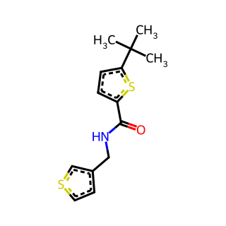 CC(C)(C)c1ccc(C(=O)NCc2ccsc2)s1